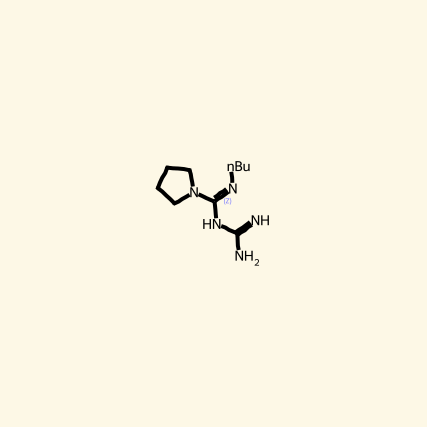 CCCC/N=C(/NC(=N)N)N1CCCC1